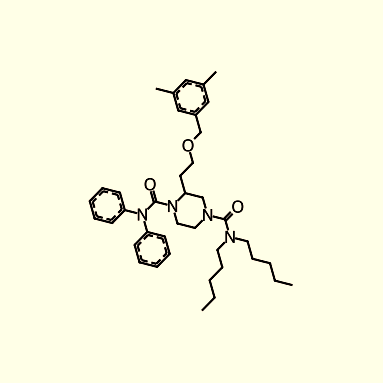 CCCCCN(CCCCC)C(=O)N1CCN(C(=O)N(c2ccccc2)c2ccccc2)C(CCOCc2cc(C)cc(C)c2)C1